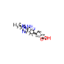 Cc1cc2ncc(-c3ccc(C4CCC(CC(=O)O)CC4)cc3)c(N)n2n1